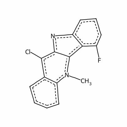 Cn1c2c3c(F)cccc3nc-2c(Cl)c2ccccc21